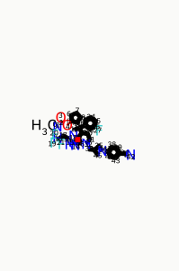 CNC(=O)O[C@H]1CCC[C@@H]1C(Cn1cnnc1CC(F)(F)F)(c1cccc(F)c1)C1CCN(CC2CN(c3ccc(C#N)cc3)C2)CC1